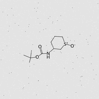 CC(C)(C)OC(=O)NC1CCC[S+]([O-])C1